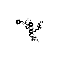 Cc1cccc2c1N(C(=O)OCc1ccccc1)CCN2c1cc2cnc(S(C)(=O)=O)nc2n(CCCC(F)(F)CCO)c1=O